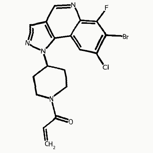 C=CC(=O)N1CCC(n2ncc3cnc4c(F)c(Br)c(Cl)cc4c32)CC1